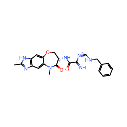 Cc1nc2cc3c(cc2[nH]1)OC[C@H](NC(=O)C(=N)/N=C\NCc1ccccc1)C(=O)N3C